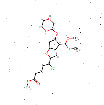 COC(=O)CCCC(Cl)C1CC2C(CC(OC3COCCO3)C2C(OC)OC)O1